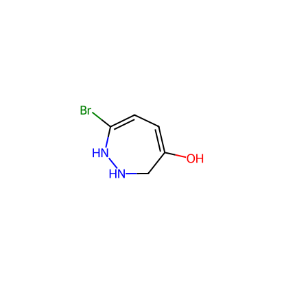 OC1=CC=C(Br)NNC1